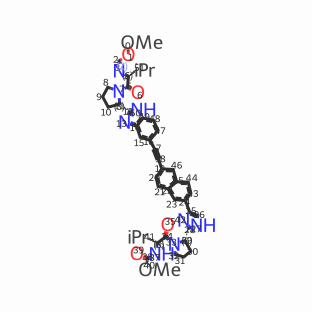 COO/C=N\[C@H](C(=O)N1CCC[C@H]1c1nc2cc(C#Cc3ccc4cc(-c5c[nH]c([C@@H]6CCCN6C(=O)[C@@H](NC(=O)OC)C(C)C)n5)ccc4c3)ccc2[nH]1)C(C)C